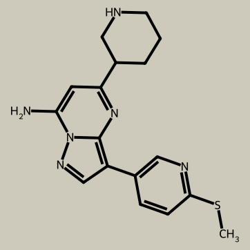 CSc1ccc(-c2cnn3c(N)cc(C4CCCNC4)nc23)cn1